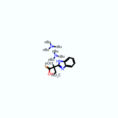 CCCCCCCCC(CC(=O)O)(C(O)=S)c1nc2ccccc2[nH]1.CCCCN(CCCC)CCCC.CCCCN(CCCC)CCCC